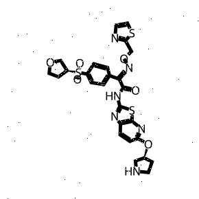 O=C(Nc1nc2ccc(O[C@H]3CCNC3)nc2s1)/C(=N/OCc1nccs1)c1ccc(S(=O)(=O)[C@H]2CCOC2)cc1